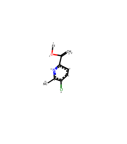 C=C(OCC)c1ccc(Cl)c(C#N)n1